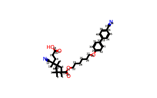 CC(C)(C)C(C)(CC(C)(C)C(C)(C#N)CCC(=O)O)C(=O)OCCCCCCOc1ccc(-c2ccc(C#N)cc2)cc1